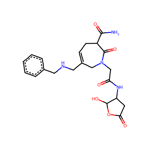 NC(=O)C1CC=C(CNCc2ccccc2)CN(CC(=O)NC2CC(=O)OC2O)C1=O